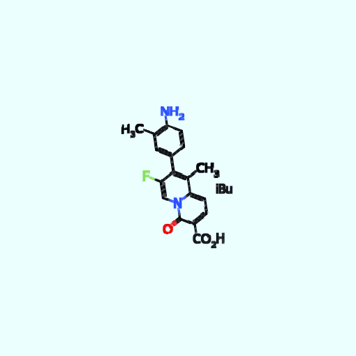 CC[C@H](C)c1cc(C(=O)O)c(=O)n2cc(F)c(-c3ccc(N)c(C)c3)c(C)c12